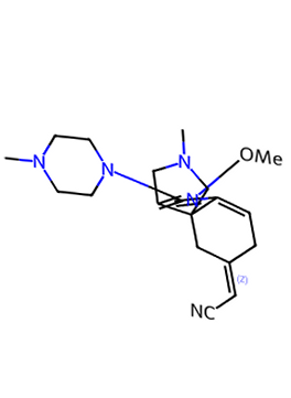 CON1C=CC(N2CCN(C)CC2)=C2CN(C)CC23C/C(=C\C#N)CC=C13